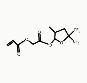 C=CC(=O)OCC(=O)OC1OC(C(F)(F)F)(C(F)(F)F)CC1C